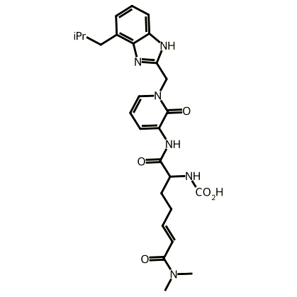 CC(C)Cc1cccc2[nH]c(Cn3cccc(NC(=O)C(CCC=CC(=O)N(C)C)NC(=O)O)c3=O)nc12